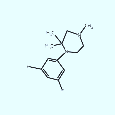 CN1CCN(c2cc(F)cc(F)c2)C(C)(C)C1